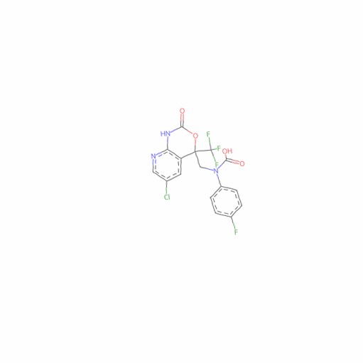 O=C1Nc2ncc(Cl)cc2C(CN(C(=O)O)c2ccc(F)cc2)(C(F)(F)F)O1